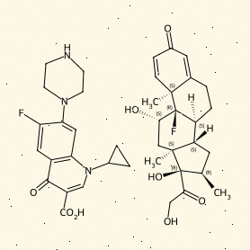 C[C@@H]1C[C@H]2[C@@H]3CCC4=CC(=O)C=C[C@]4(C)[C@@]3(F)[C@@H](O)C[C@]2(C)[C@@]1(O)C(=O)CO.O=C(O)c1cn(C2CC2)c2cc(N3CCNCC3)c(F)cc2c1=O